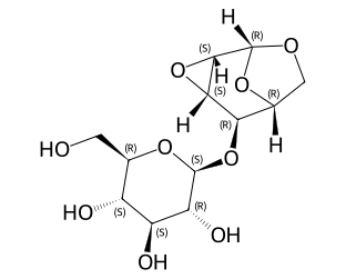 OC[C@H]1O[C@@H](O[C@H]2[C@@H]3O[C@@H]3[C@@H]3OC[C@H]2O3)[C@H](O)[C@@H](O)[C@@H]1O